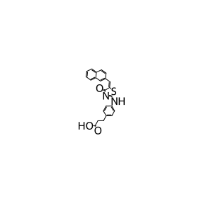 O=C(O)CCc1ccc(NC2=NC(=O)C(=Cc3ccc4ccccc4c3)S2)cc1